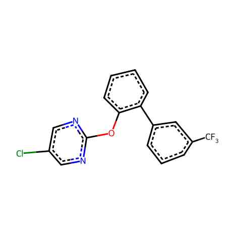 FC(F)(F)c1cccc(-c2ccccc2Oc2ncc(Cl)cn2)c1